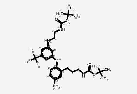 CC(C)(C)OC(=O)NCCCc1cc(N)ccc1Oc1cc(NCCNC(=O)OC(C)(C)C)cc(C(F)(F)F)c1